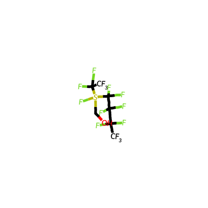 OCS(F)(C(F)(F)C(F)(F)F)C(F)(F)C(F)(F)C(F)(F)C(F)(F)F